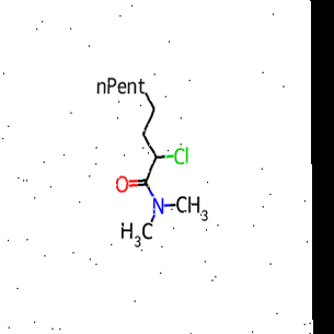 CCCCCCCC(Cl)C(=O)N(C)C